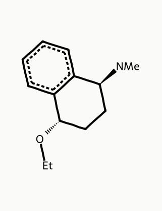 CCO[C@H]1CC[C@H](NC)c2ccccc21